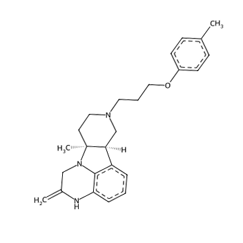 C=C1CN2c3c(cccc3[C@@H]3CN(CCCOc4ccc(C)cc4)CC[C@@]32C)N1